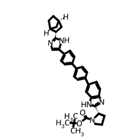 CC(C)(C)OC(=O)N1CCC[C@H]1c1nc2ccc(-c3ccc(-c4ccc(-c5cnc([C@H]6C[C@@H]7CC[C@H]6C7)[nH]5)cc4)cc3)cc2[nH]1